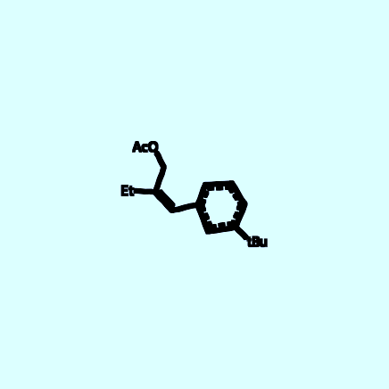 CCC(=Cc1cccc(C(C)(C)C)c1)COC(C)=O